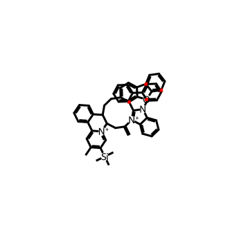 C=C1CC2C(CCc3ccc4c(oc5ccccc54)c3-c3n(-c4ccccc4-c4ccccc4)c4ccccc4[n+]31)c1ccccc1-c1cc(C)c([Si](C)(C)C)c[n+]12